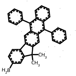 Bc1ccc2c(c1)C(C)(C)c1cc3c(-c4ccccc4)c4ccccc4c(-c4ccccc4)c3cc1-2